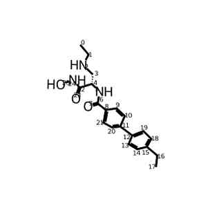 CCNC[C@H](NC(=O)c1ccc(-c2ccc(CC)cc2)cc1)C(=O)NO